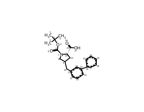 CC(C)(C)OC(=O)N1CC(Cc2cccc(-c3ccccc3)c2)C[C@H]1C(=O)O